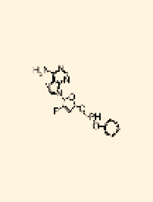 Nc1ncnc2c1ncn2C1OC(OCPOc2ccccc2)C=C1F